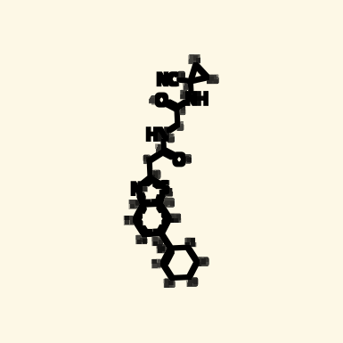 N#CC1(NC(=O)CNC(=O)Cc2nc3ccc(C4=CCCCC4)cc3s2)CC1